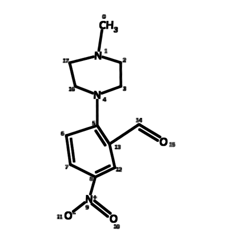 CN1CCN(c2ccc([N+](=O)[O-])cc2C=O)CC1